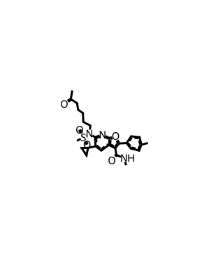 CNC(=O)c1c(-c2ccc(C)cc2)oc2nc(N(CCCCCC(C)=O)S(C)(=O)=O)c(C3CC3)cc12